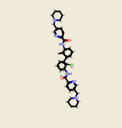 Cc1c(NC(=O)c2ccc(CN3CCCCC3)cn2)cccc1-c1cccc(NC(=O)c2ccc(CN3CCCCC3)cn2)c1Cl